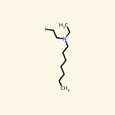 CCCCCCCN(CC)CCI